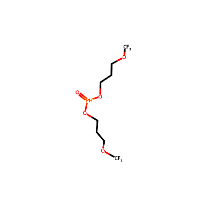 O=[PH](OCCCOC(F)(F)F)OCCCOC(F)(F)F